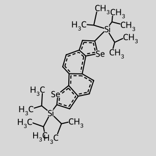 CC(C)[Si](c1cc2ccc3c(ccc4cc([Si](C(C)C)(C(C)C)C(C)C)[se]c43)c2[se]1)(C(C)C)C(C)C